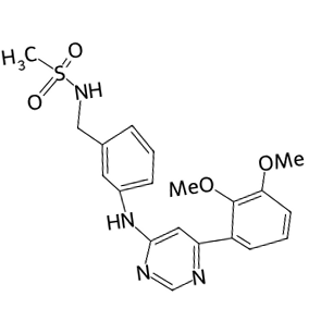 COc1cccc(-c2cc(Nc3cccc(CNS(C)(=O)=O)c3)ncn2)c1OC